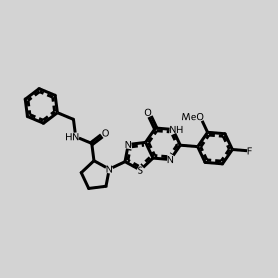 COc1cc(F)ccc1-c1nc2sc(N3CCCC3C(=O)NCc3ccccc3)nc2c(=O)[nH]1